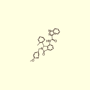 COc1ccc(CN2C(=O)c3cccc(NC(=O)c4nnc5ccccn45)c3C2c2ccccc2C)cc1